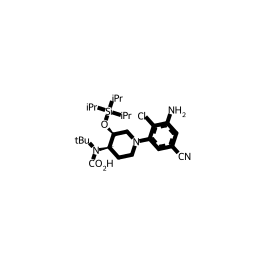 CC(C)[Si](O[C@H]1CN(c2cc(C#N)cc(N)c2Cl)CC[C@H]1N(C(=O)O)C(C)(C)C)(C(C)C)C(C)C